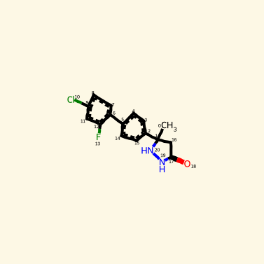 CC1(c2ccc(-c3ccc(Cl)cc3F)cc2)CC(=O)NN1